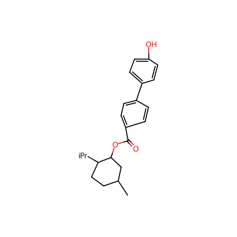 CC1CCC(C(C)C)C(OC(=O)c2ccc(-c3ccc(O)cc3)cc2)C1